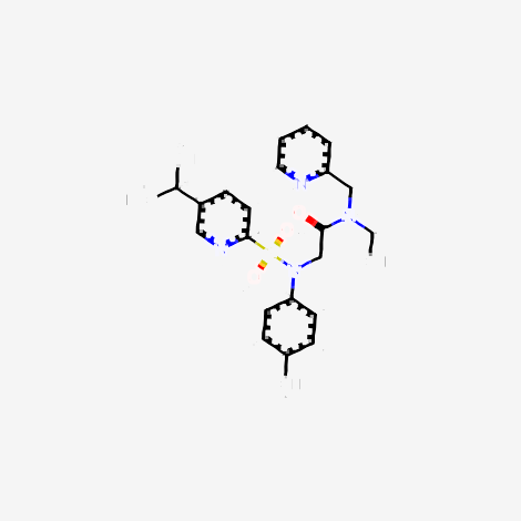 CCN(Cc1ccccn1)C(=O)CN(c1ccc(C)cc1)S(=O)(=O)c1ccc(C(C)C)cn1